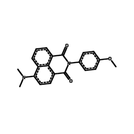 COc1ccc(N2C(=O)c3cccc4c(N(C)C)ccc(c34)C2=O)cc1